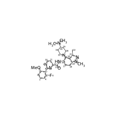 COc1cccc(F)c1-c1nccc(C(=O)Nc2ccc3c(c(I)nn3C)c2N2CCC(N(C)C)CC2)n1